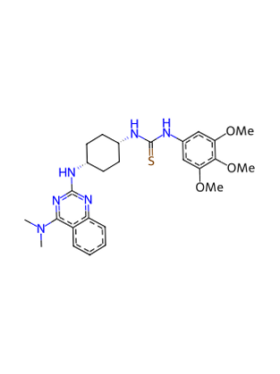 COc1cc(NC(=S)N[C@H]2CC[C@@H](Nc3nc(N(C)C)c4ccccc4n3)CC2)cc(OC)c1OC